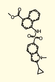 COC(=O)c1ccc(NS(=O)(=O)c2ccc3cc(C4CC4)n(C)c3c2)c2ccccc12